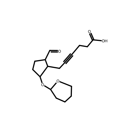 O=CC1CCC(OC2CCCCO2)C1CC#CCCC(=O)O